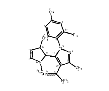 Cc1nn(-c2ccc(O)cc2F)c(C2C(C)C=CN2C)c1C(=N)N